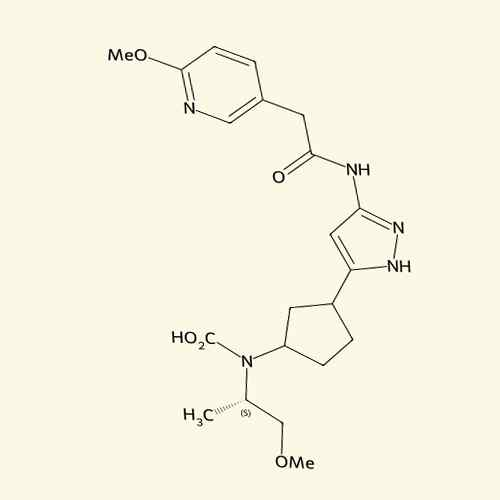 COC[C@H](C)N(C(=O)O)C1CCC(c2cc(NC(=O)Cc3ccc(OC)nc3)n[nH]2)C1